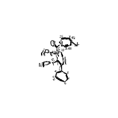 CCCC1=C(c2ccccc2)N=C[N+]1(C(=O)n1ccnc1)C(C)C